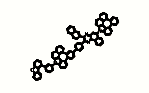 c1cc(-c2cccc3oc4ccccc4c23)cc(-n2c3cccc4c3c3c5c(cccc5ccc32)-c2cc(-c3ccc(-c5nc6c(cc(-n7c8cccc9c8c8c%10c(cccc%10ccc87)-c7ccccc7-9)c7ccccc76)nc5-c5ccc6ccccc6c5)cc3)ccc2-4)c1